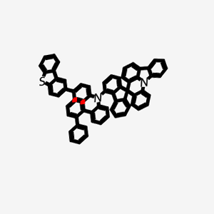 c1ccc(-c2ccccc2-c2ccccc2N(c2ccc(-c3ccc4sc5ccccc5c4c3)cc2)c2cccc3c2-c2ccccc2C32c3ccccc3-n3c4ccccc4c4cccc2c43)cc1